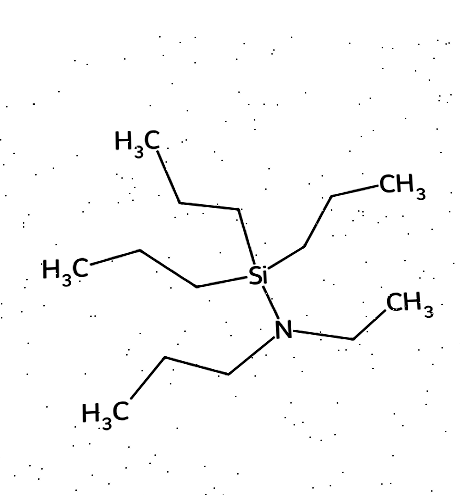 CCCN(CC)[Si](CCC)(CCC)CCC